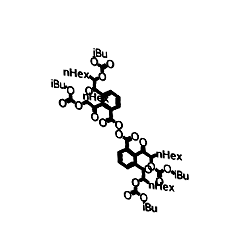 CCCCCCC(OC(=O)OC(C)CC)C(=O)c1cccc(C(=O)OOC(=O)c2cccc(C(=O)C(CCCCCC)OC(=O)OC(C)CC)c2C(=O)C(CCCCCC)OC(=O)OC(C)CC)c1C(=O)C(CCCCCC)OC(=O)OC(C)CC